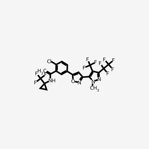 C=C(NC1(C(F)(F)F)CC1)c1cc(-c2cc(-c3c(C(F)(F)F)c(C(F)(F)C(F)(F)F)nn3C)no2)ccc1Cl